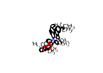 CC(C)(C)c1ccc2c(c1)-c1cc(C(C)(C)C)ccc1C21c2ccccc2-c2ccc(N(c3cccc(-c4cccc5c4C(C)(C)c4ccccc4-5)c3)c3ccccc3-c3ccc4c(c3)C(C)(C)c3ccccc3-4)cc21